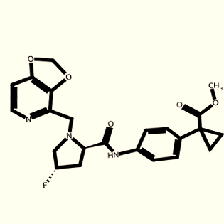 COC(=O)C1(c2ccc(NC(=O)[C@H]3C[C@H](F)CN3Cc3nccc4c3OCO4)cc2)CC1